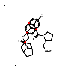 COC[C@@H]1CCCN1C(=O)c1cc(Cl)ccc1OCC(=O)N1C2CCC1CC(Oc1ccc(F)cc1)C2